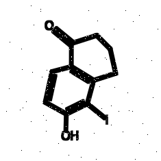 O=C1CCCc2c1ccc(O)c2I